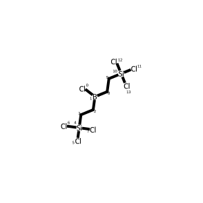 ClB(CC[Si](Cl)(Cl)Cl)CC[Si](Cl)(Cl)Cl